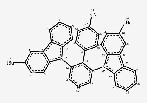 CC(C)(C)c1ccc2c(c1)c1ccccc1n2-c1cncc(-n2c3ccccc3c3cc(C(C)(C)C)ccc32)c1-c1ccc(C#N)cc1